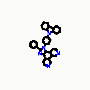 c1ccc(-c2nc3c4ccncc4c4cnccc4c3n2-c2ccc(-n3c4ccccc4c4ccccc43)cc2)cc1